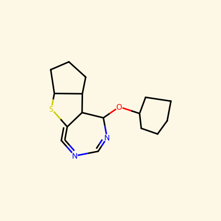 C1=NC=NC(OC2CCCCC2)C2C=1SC1CCCC12